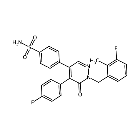 Cc1c(F)cccc1Cn1ncc(-c2ccc(S(N)(=O)=O)cc2)c(-c2ccc(F)cc2)c1=O